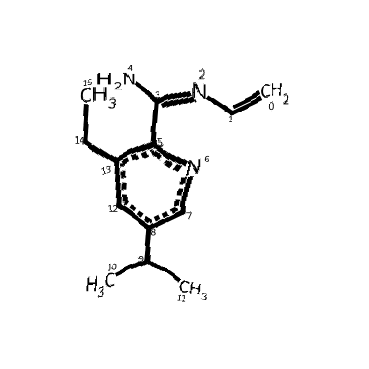 C=C/N=C(/N)c1ncc(C(C)C)cc1CC